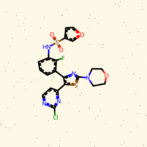 O=S(=O)(Nc1cccc(-c2nc(N3CCOCC3)sc2-c2ccnc(Cl)n2)c1F)c1ccoc1